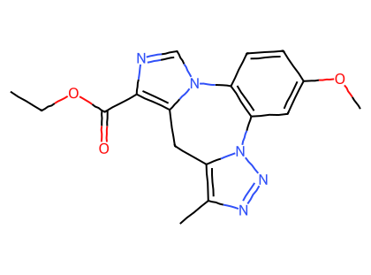 CCOC(=O)c1ncn2c1Cc1c(C)nnn1-c1cc(OC)ccc1-2